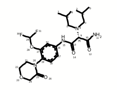 CC(C)CN(CC(C)C)[C@H](C(N)=O)C(=O)Nc1ccc(N2CCOCC2=O)c(OC(F)F)c1